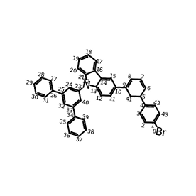 Brc1ccc(C2C=CC=C(c3ccc4c(c3)c3ccccc3n4-c3cc(-c4ccccc4)cc(-c4ccccc4)c3)C2)cc1